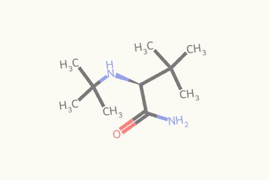 CC(C)(C)N[C@H](C(N)=O)C(C)(C)C